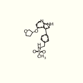 CS(=O)(=O)NCc1ccc(-c2c[nH]c3nccc(O[C@H]4CCOC4)c23)cc1